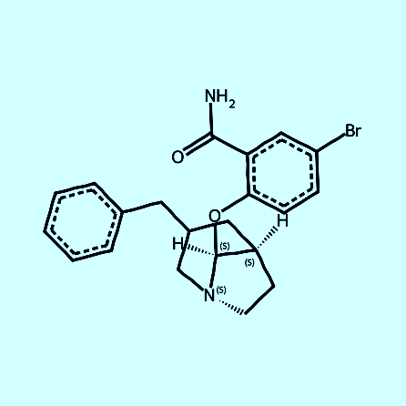 NC(=O)c1cc(Br)ccc1O[C@H]1[C@@H]2CC[N@]1CC(Cc1ccccc1)C2